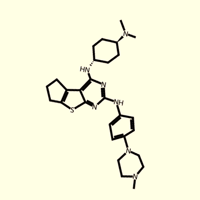 CN1CCN(c2ccc(Nc3nc(N[C@H]4CC[C@H](N(C)C)CC4)c4c5c(sc4n3)CCC5)cc2)CC1